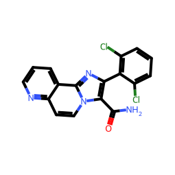 NC(=O)c1c(-c2c(Cl)cccc2Cl)nc2c3cccnc3ccn12